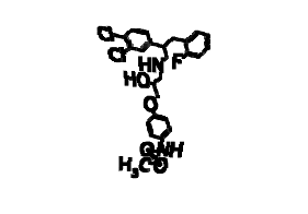 CS(=O)(=O)Nc1ccc(OCC(O)CNCC(Cc2ccccc2F)c2ccc(Cl)c(Cl)c2)cc1